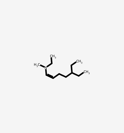 CCC(CC)CC/C=C\N(C)CC